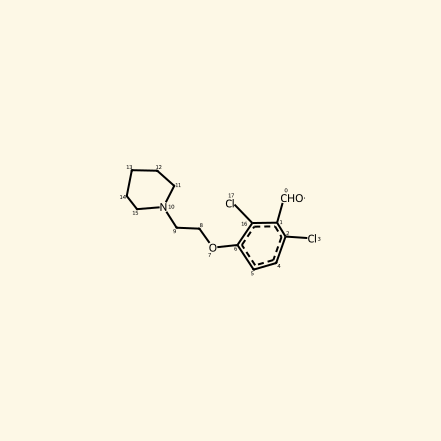 O=[C]c1c(Cl)ccc(OCCN2CCCCC2)c1Cl